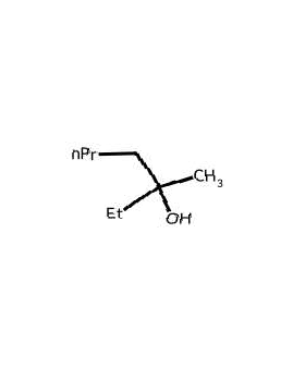 [CH2]CCCC(C)(O)CC